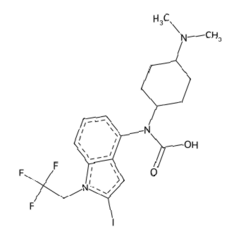 CN(C)C1CCC(N(C(=O)O)c2cccc3c2cc(I)n3CC(F)(F)F)CC1